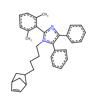 Cc1cccc(C)c1-c1nc(-c2ccccc2)c(-c2ccccc2)n1CCCCC1CC2C=CC1C2